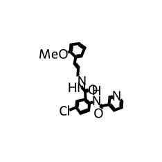 COc1ccccc1/C=C/C=N/NC(=O)c1cc(Cl)ccc1NC(=O)c1cccnc1